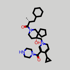 C[C@H](CC1CCCCC1)C(=O)N1CC[C@](O)(CN2C=C(C(=O)N3CCNCC3)C(C3CC3)=CC2)C2(CCCC2)C1